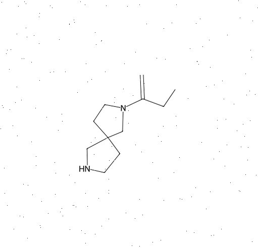 C=C(CC)N1CCC2(CCNC2)C1